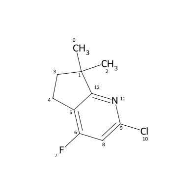 CC1(C)CCc2c(F)cc(Cl)nc21